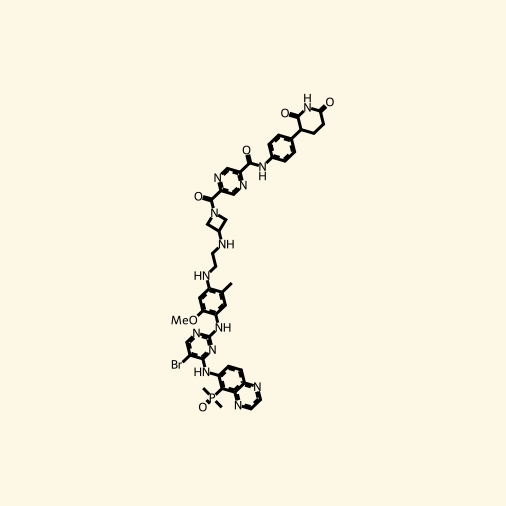 COc1cc(NCCNC2CN(C(=O)c3cnc(C(=O)Nc4ccc(C5CCC(=O)NC5=O)cc4)cn3)C2)c(C)cc1Nc1ncc(Br)c(Nc2ccc3nccnc3c2P(C)(C)=O)n1